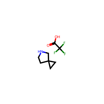 C1CC2(CC2)CN1.O=C(O)C(F)(F)F